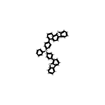 c1ccc(N(c2ccc(-c3cccc4c3ccc3c5ccccc5sc43)cc2)c2ccc(-c3cccc4c3oc3ccccc34)cc2)cc1